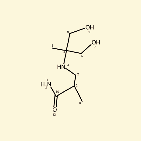 CC(CNC(C)(CO)CO)C(N)=O